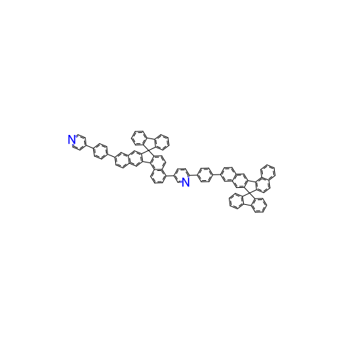 c1ccc2c(c1)-c1ccccc1C21c2cc3cc(-c4ccc(-c5ccc(-c6cccc7c8c(ccc67)C6(c7ccccc7-c7ccccc76)c6cc7cc(-c9ccc(-c%10ccncc%10)cc9)ccc7cc6-8)cn5)cc4)ccc3cc2-c2c1ccc1ccccc21